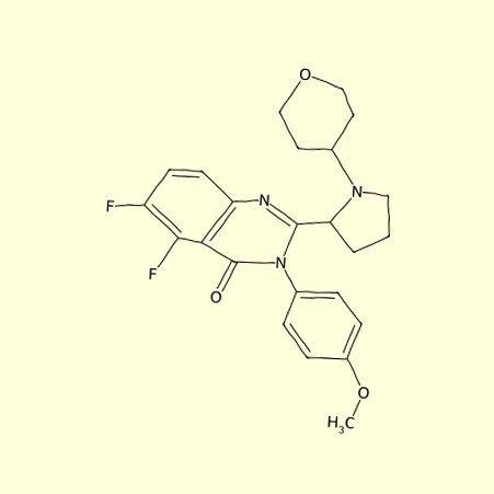 COc1ccc(-n2c(C3CCCN3C3CCOCC3)nc3ccc(F)c(F)c3c2=O)cc1